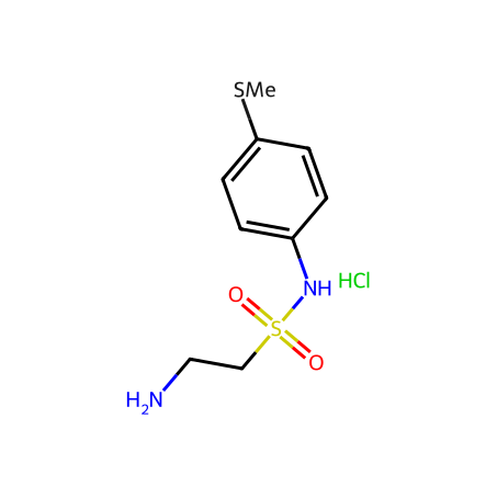 CSc1ccc(NS(=O)(=O)CCN)cc1.Cl